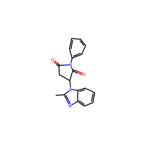 Cc1nc2ccccc2n1C1CC(=O)N(c2ccccc2)C1=O